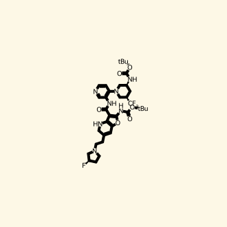 CC(C)(C)OC(=O)Nc1oc2c(c1C(=O)Nc1cnccc1N1C[C@@H](NC(=O)OC(C)(C)C)C[C@@H](C(F)(F)F)C1)NCC(CCN1CC[C@@H](F)C1)=C2